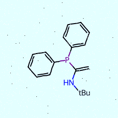 C=C(NC(C)(C)C)P(c1ccccc1)c1ccccc1